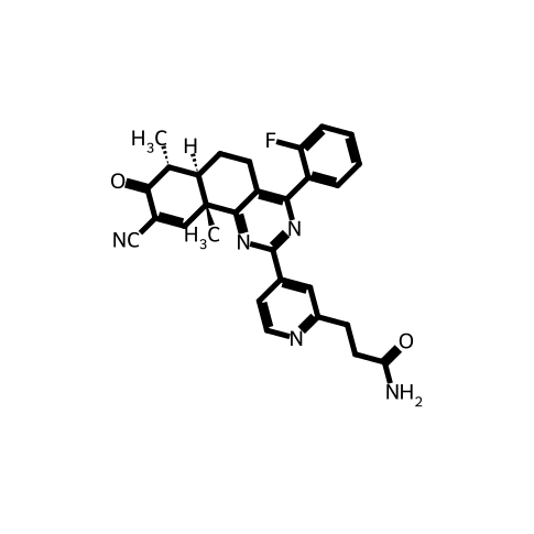 C[C@H]1C(=O)C(C#N)=C[C@@]2(C)c3nc(-c4ccnc(CCC(N)=O)c4)nc(-c4ccccc4F)c3CC[C@H]12